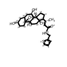 C[C@H](CC(=O)NCc1cccs1)C1CC[C@H]2C3[C@H](O)CC4C[C@H](O)CCC4(C)[C@H]3CCC12C